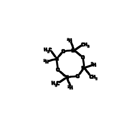 [2H][Si]1(C)O[Si]([2H])(C)O[Si]([2H])(C)O[Si]([2H])(C)O1